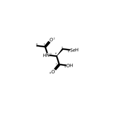 CC(=O)N[C@@H](C[SeH])C(=O)O